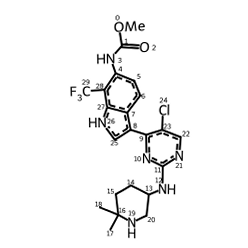 COC(=O)Nc1ccc2c(-c3nc(NC4CCC(C)(C)NC4)ncc3Cl)c[nH]c2c1C(F)(F)F